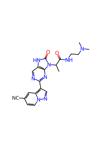 CC(C(=O)NCCN(C)C)n1c(=O)[nH]c2cnc(-c3cnn4ccc(C#N)cc34)nc21